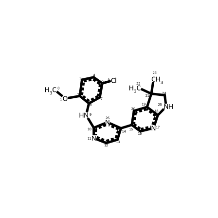 COc1ccc(Cl)cc1Nc1nccc(-c2cnc3c(c2)C(C)(C)CN3)n1